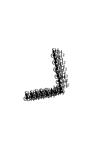 CC(C)[C@H](N)C(=O)O.C[C@H](N)C(=O)O.C[C@H](N)C(=O)O.C[C@H](N)C(=O)O.C[C@H](N)C(=O)O.N[C@@H](CO)C(=O)O.N[C@@H](CO)C(=O)O.N[C@@H](CO)C(=O)O.N[C@@H](CS)C(=O)O.N[C@@H](CS)C(=O)O.N[C@@H](CS)C(=O)O.N[C@@H](CS)C(=O)O.N[C@@H](CS)C(=O)O.N[C@@H](CS)C(=O)O